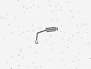 [Li][CH2]C#N